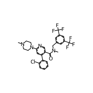 CN1CCN(c2cc(-c3ccccc3Cl)c(C(=O)N(C)Cc3cc(C(F)(F)F)cc(C(F)(F)F)c3)cn2)CC1